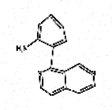 Nc1ccccc1-c1nccc2ccncc12